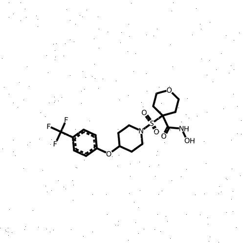 O=C(NO)C1(S(=O)(=O)N2CCC(Oc3ccc(C(F)(F)F)cc3)CC2)CCOCC1